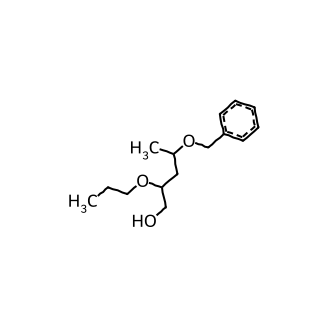 CCCOC(CO)CC(C)OCc1ccccc1